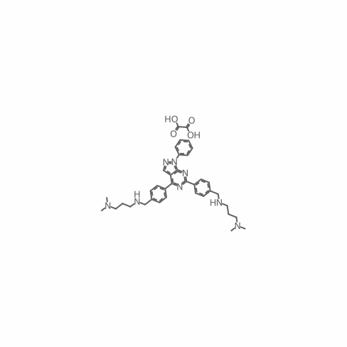 CN(C)CCCNCc1ccc(-c2nc(-c3ccc(CNCCCN(C)C)cc3)c3cnn(-c4ccccc4)c3n2)cc1.O=C(O)C(=O)O